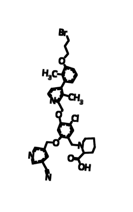 Cc1c(OCCCBr)cccc1-c1ccnc(COc2cc(OCc3cncc(C#N)c3)c(CN3CCCCC3C(=O)O)cc2Cl)c1C